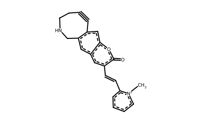 C[n+]1ccccc1/C=C/c1cc2cc3c(cc2oc1=O)C#CCCNC3